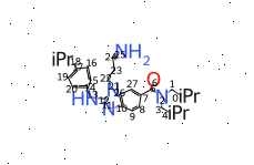 CC(C)CN(CC(C)C)C(=O)c1ccc2nc(Nc3ccc(C(C)C)cc3)n(CCCN)c2c1